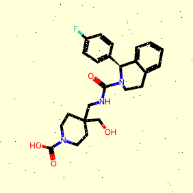 O=C(O)N1CCC(CO)(CNC(=O)N2CCc3ccccc3[C@@H]2c2ccc(F)cc2)CC1